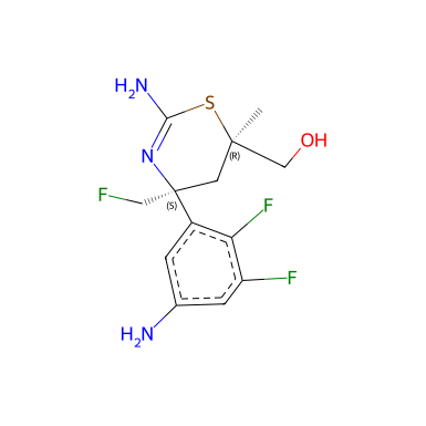 C[C@]1(CO)C[C@@](CF)(c2cc(N)cc(F)c2F)N=C(N)S1